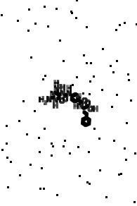 Nc1nc(N)c(NC(=O)Nc2ccc(C(=O)N[C@@H](CCc3ccccc3)C(=O)O)nc2)c(=O)[nH]1